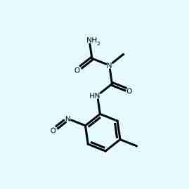 Cc1ccc(N=O)c(NC(=O)N(C)C(N)=O)c1